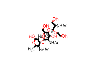 CC(=O)NC1[C@@H](O[C@H]2C(NC(C)=O)[C@H](O)OC(C)[C@H]2NC(C)=O)OC(CO)[C@H](O[C@@H](OCCO)[C@H](CO)NC(C)=O)[C@@H]1O